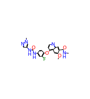 CNC(=O)c1cc2nccc(Oc3ccc(NC(=O)Nc4cnn(C)c4)cc3F)c2cc1OC